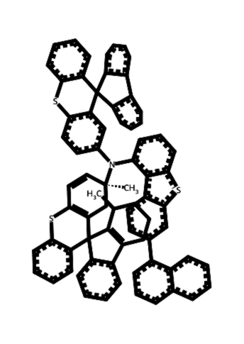 CC1CCCC2=C1C1(C3=C(C=C[C@@](C)(N(c4ccc5c(c4)C4(c6ccccc6S5)c5ccccc5-c5ccccc54)c4cccc5sc6cc(-c7cccc8ccccc78)ccc6c45)C3)Sc3ccccc31)c1ccccc12